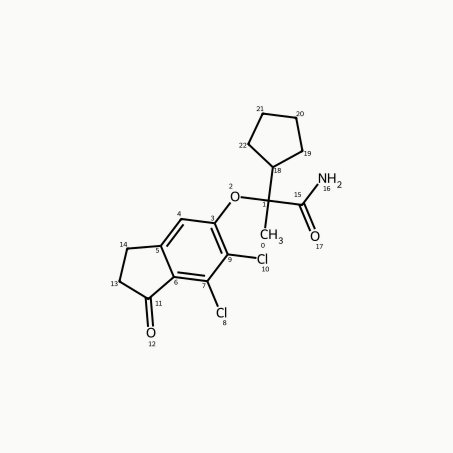 CC(Oc1cc2c(c(Cl)c1Cl)C(=O)CC2)(C(N)=O)C1CCCC1